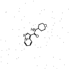 O=C(NC1CCOCC1)c1cnn2ccccc12